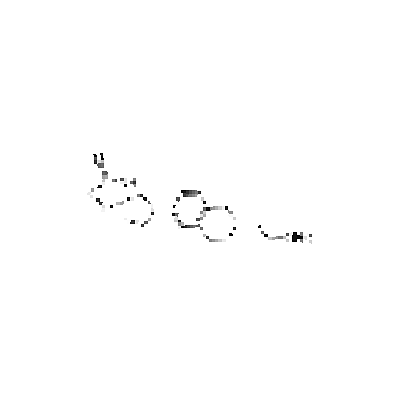 O=CCC[C@@H]1CCc2cc([C@@H]3CCC4(COC(=O)N4)C3)ccc2C1